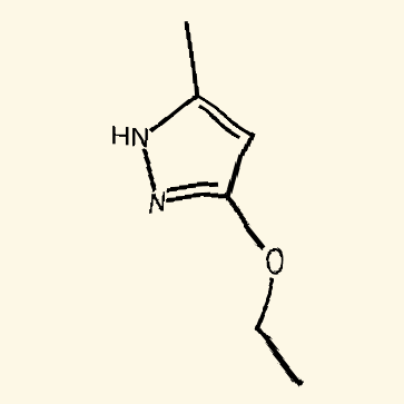 CCOc1cc(C)[nH]n1